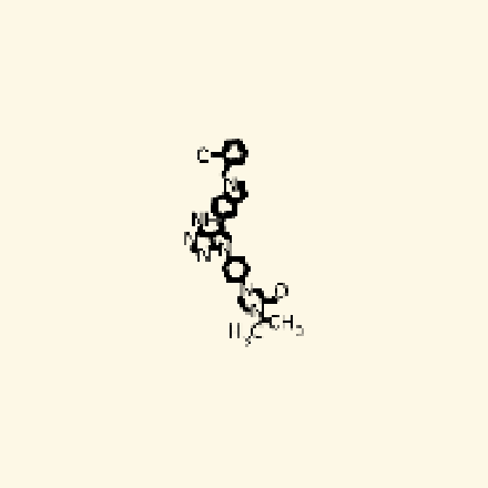 CC(C)N1CCN(C2CCC(n3cc(-c4ccc5c(ccn5Cc5ccccc5Cl)c4)c4c(N)ncnc43)CC2)CC1C=O